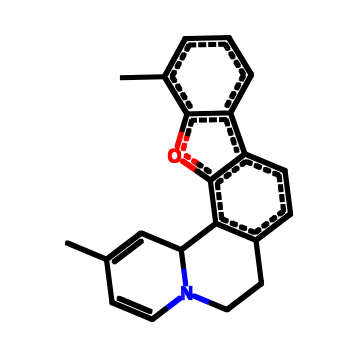 CC1=CC2c3c(ccc4c3oc3c(C)cccc34)CCN2C=C1